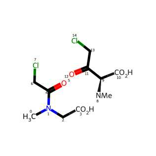 CN(CC(=O)O)C(=O)CCl.CN[C@H](C(=O)O)C(=O)CCl